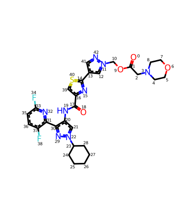 O=C(CN1CCOCC1)OCn1cc(-c2nc(C(=O)Nc3cn(C4CCCCC4)nc3-c3nc(F)ccc3F)cs2)cn1